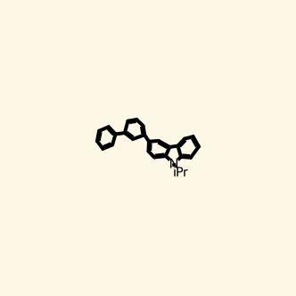 CC(C)n1c2ccccc2c2cc(-c3cccc(-c4ccccc4)c3)ccc21